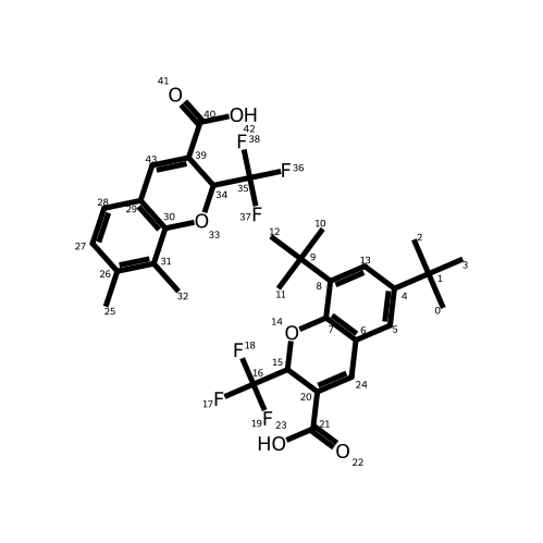 CC(C)(C)c1cc2c(c(C(C)(C)C)c1)OC(C(F)(F)F)C(C(=O)O)=C2.Cc1ccc2c(c1C)OC(C(F)(F)F)C(C(=O)O)=C2